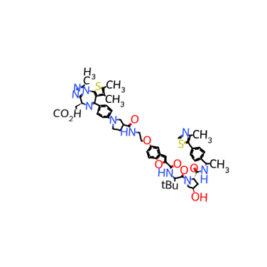 Cc1ncsc1-c1ccc(C(C)NC(=O)[C@@H]2C[C@@H](O)CN2C(=O)C(NC(=O)c2cc3cc(OCCNC(=O)C4CCN(c5ccc(C6=N[C@@H](CC(=O)O)c7nnc(C)n7-c7sc(C)c(C)c76)cc5)C4)ccc3o2)C(C)(C)C)cc1